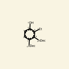 CCCCCCCCCCc1ccc(O)c(CC)c1CCCCCCCCCC